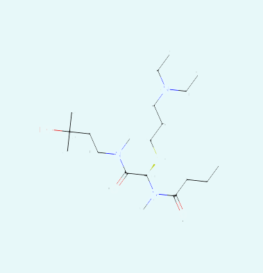 CCCC(=O)N(C)[C@H](SCCCN(CC)CC)C(=O)N(C)[C@H](C)CC(C)(C)O